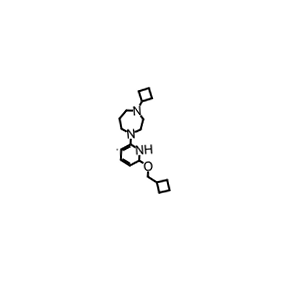 [C]1=C(N2CCCN(C3CCC3)CC2)NC(OCC2CCC2)C=C1